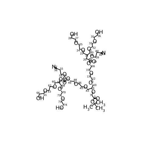 CC(C)(C)OC(=O)COC(COCCOCCOP(=O)(CC(COCCOCCO)COCCOCCO)OCCC#N)COCCOCCOP(=O)(OCCC#N)OC(COCCOCCO)COCCOCCO